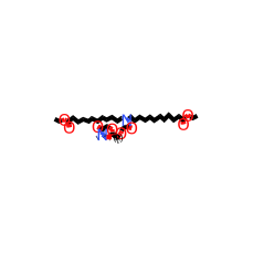 CCOC(=O)CCCCCCCCCCCN(CCCCCCCCCCCC(=O)OCC)C(=O)CO[C@H](C)[C@@H](C)OCC(=O)N(C)C